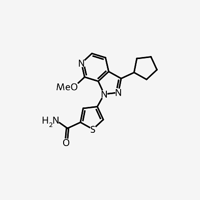 COc1nccc2c(C3CCCC3)nn(-c3csc(C(N)=O)c3)c12